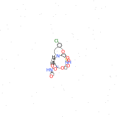 O=C(N[C@H]1CCOC1)O[C@H]1/C=C/COC2(CCC2)C(=O)NS(=O)(=O)c2ccc3c(c2)N(CCCCc2cc(Cl)ccc2CO3)C[C@@H]2CC[C@H]21